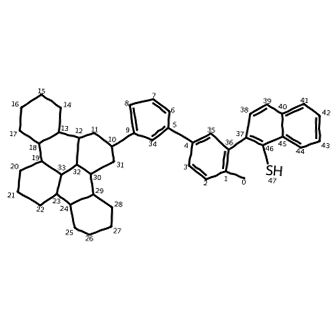 Cc1ccc(-c2cccc(C3CC4C5CCCCC5C5CCCC6C7CCCCC7C(C3)C4C56)c2)cc1-c1ccc2ccccc2c1S